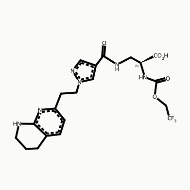 O=C(N[C@@H](CNC(=O)c1cnn(CCc2ccc3c(n2)NCCC3)c1)C(=O)O)OCC(F)(F)F